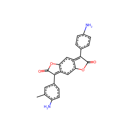 Cc1cc(C2=c3cc4c(cc3OC2=O)=C(c2ccc(N)cc2)C(=O)O4)ccc1N